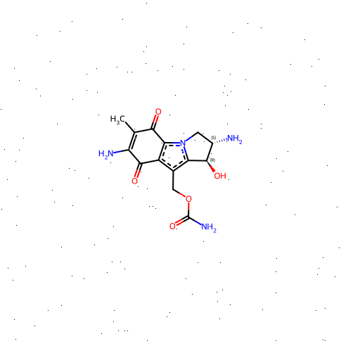 CC1=C(N)C(=O)c2c(COC(N)=O)c3n(c2C1=O)C[C@H](N)[C@H]3O